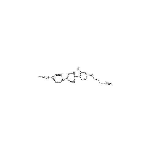 CCCCCCCc1ccc(-c2cnc(-c3ccc(OCCCC(C)CCC)cc3F)nc2)cc1